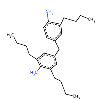 CCCCc1cc(Cc2cc(CCCC)c(N)c(CCCC)c2)ccc1N